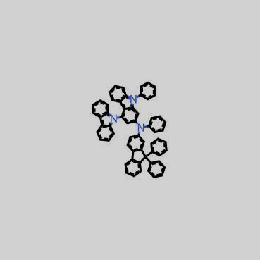 c1ccc(N(c2ccc3c(c2)C(c2ccccc2)(c2ccccc2)c2ccccc2-3)c2cc(-n3c4ccccc4c4ccccc43)c3c4ccccc4n(-c4ccccc4)c3c2)cc1